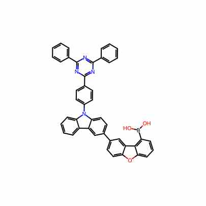 OB(O)c1cccc2oc3ccc(-c4ccc5c(c4)c4ccccc4n5-c4ccc(-c5nc(-c6ccccc6)nc(-c6ccccc6)n5)cc4)cc3c12